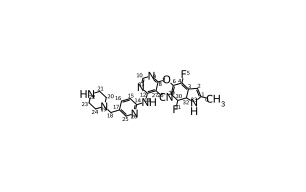 CC1=CC2=C(F)C(Oc3ncnc(Nc4ccc(CN5CCNCC5)cn4)c3C#N)=CC(F)C2N1